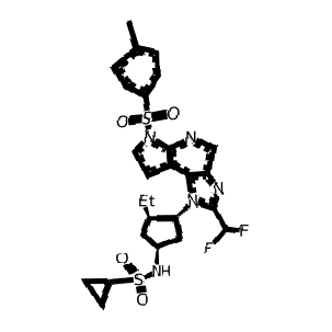 CC[C@@H]1C[C@H](NS(=O)(=O)C2CC2)C[C@@H]1n1c(C(F)F)nc2cnc3c(ccn3S(=O)(=O)c3ccc(C)cc3)c21